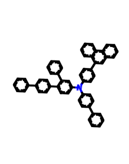 c1ccc(-c2ccc(-c3ccc(N(c4ccc(-c5ccccc5)cc4)c4ccc(-c5cc6ccccc6c6ccccc56)cc4)cc3-c3ccccc3)cc2)cc1